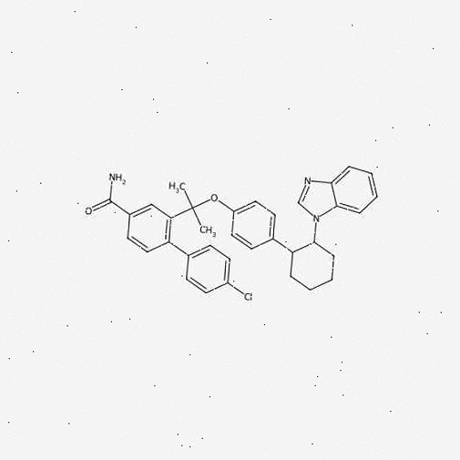 CC(C)(Oc1ccc(C2CCCCC2n2cnc3ccccc32)cc1)c1cc(C(N)=O)ccc1-c1ccc(Cl)cc1